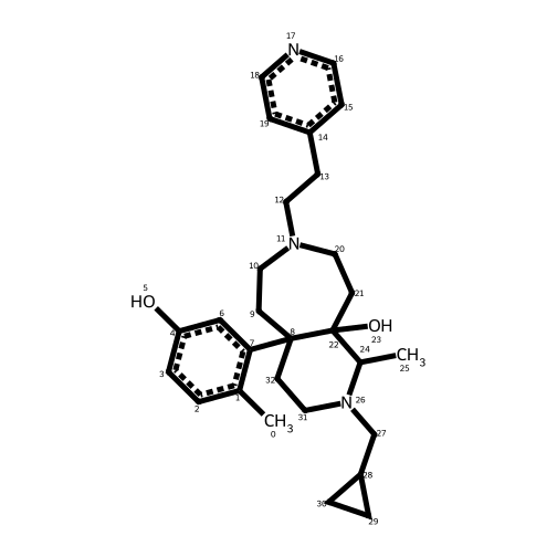 Cc1ccc(O)cc1C12CCN(CCc3ccncc3)CCC1(O)C(C)N(CC1CC1)CC2